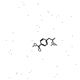 COC(=O)c1ccc(C[CH](C)[Sb]([CH3])[CH3])cc1